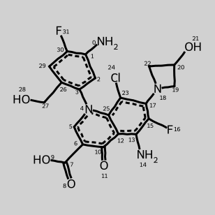 Nc1cc(-n2cc(C(=O)O)c(=O)c3c(N)c(F)c(N4CC(O)C4)c(Cl)c32)c(CO)cc1F